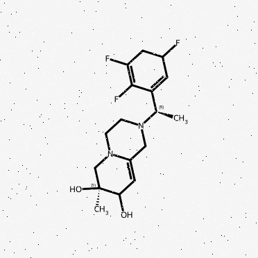 C[C@H](C1=CC(F)CC(F)=C1F)N1CCN2C[C@](C)(O)C(O)C=C2C1